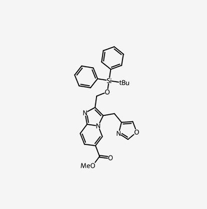 COC(=O)c1ccc2nc(CO[Si](c3ccccc3)(c3ccccc3)C(C)(C)C)c(Cc3cocn3)n2c1